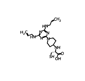 C=CCNc1nc(NCC=C)nc(N2CCC(N[C@@H](CS)C(=O)O)CC2)n1